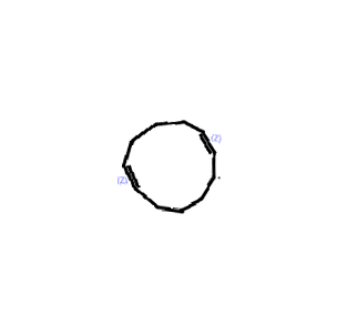 [CH]1/C=C\CCC/C=C\CCC1